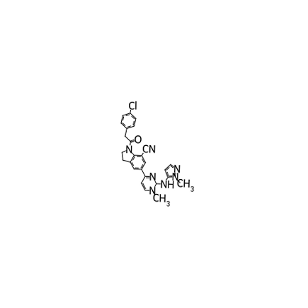 CN1C=CC(c2cc(C#N)c3c(c2)CCN3C(=O)Cc2ccc(Cl)cc2)=NC1Nc1ccnn1C